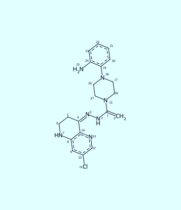 C=C(N/N=C1/CCNc2cc(Cl)cnc21)N1CCN(c2ccccc2N)CC1